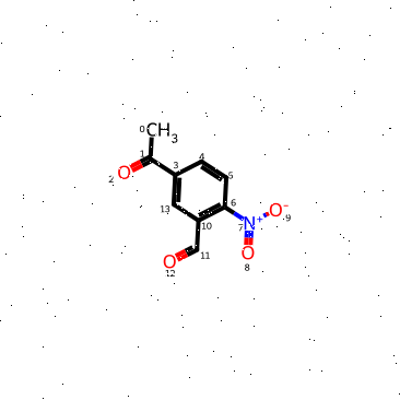 CC(=O)c1ccc([N+](=O)[O-])c(C=O)c1